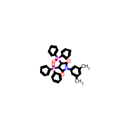 Cc1cc(C)cc(N2C(=O)C(P(=O)(c3ccccc3)c3ccccc3)C(P(=O)(c3ccccc3)c3ccccc3)C2=O)c1